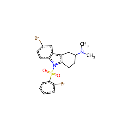 CN(C)C1CCc2c(c3cc(Br)ccc3n2S(=O)(=O)c2ccccc2Br)C1